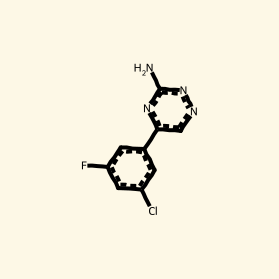 Nc1nncc(-c2cc(F)cc(Cl)c2)n1